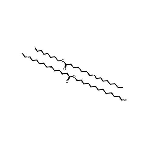 CCCCCCCCCCCCCCCC(=O)OCCCCCCCC.CCCCCCCCCCCCCCOC(=O)CCCCCCCCCCCCC